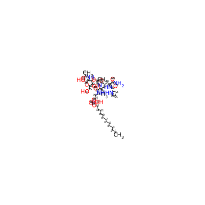 CCCCCCCCCCCCCCOP(=O)(O)OCCNC(=O)[C@H](C)N(CC(C)O[C@H]1[C@H](O)[C@@H](CO)O[C@H](O)[C@@H]1NC(C)=O)C(=O)CC[C@@H](NC(=O)[C@@H]1CCCN1)C(N)=O